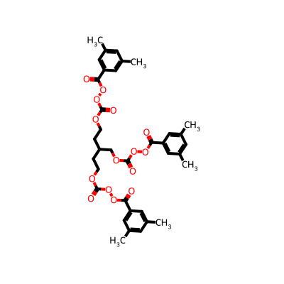 Cc1cc(C)cc(C(=O)OOC(=O)OCCC(CCOC(=O)OOC(=O)c2cc(C)cc(C)c2)COC(=O)OOC(=O)c2cc(C)cc(C)c2)c1